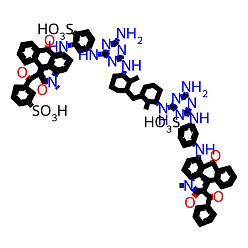 CC1C(CC2CCCC(Nc3nc(N)nc(Nc4cc(Nc5ccc6c7c5C(=O)c5ccccc5-c7c(C(=O)c5ccccc5)c(=O)n6C)ccc4S(=O)(=O)O)n3)C2C)CCCC1Nc1nc(N)nc(Nc2ccc(S(=O)(=O)O)c(Nc3ccc4c5c3C(=O)c3ccccc3-c5c(C(=O)c3cccc(S(=O)(=O)O)c3)c(=O)n4C)c2)n1